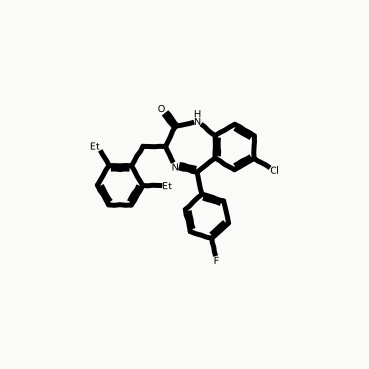 CCc1cccc(CC)c1CC1N=C(c2ccc(F)cc2)c2cc(Cl)ccc2NC1=O